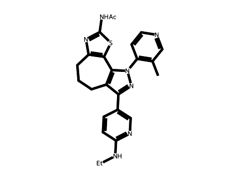 CCNc1ccc(-c2nn(-c3ccncc3C)c3c2CCCc2nc(NC(C)=O)sc2-3)cn1